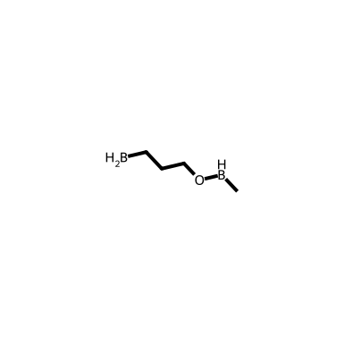 BCCCOBC